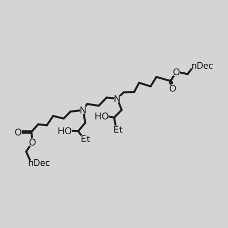 CCCCCCCCCCCOC(=O)CCCCCN(CCCN(CCCCCC(=O)OCCCCCCCCCCC)CC(O)CC)CC(O)CC